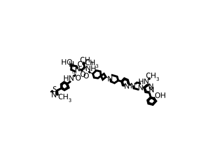 CCNc1nnc(-c2ccccc2O)cc1N1CCN(c2ccc(C3CCN([C@H]4CC5(CC[C@H](C(=O)N[C@H](C(=O)N6C[C@H](O)C[C@H]6C(=O)NCc6ccc(-c7scnc7C)cc6)C(C)(C)C)CC5)C4)CC3)cn2)CC1